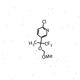 COCOC(C)(c1ccc(Cl)nc1)C(F)(F)F